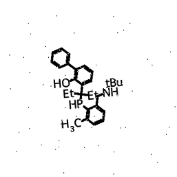 CCC(CC)(Pc1c(C)cccc1CNC(C)(C)C)c1cccc(-c2ccccc2)c1O